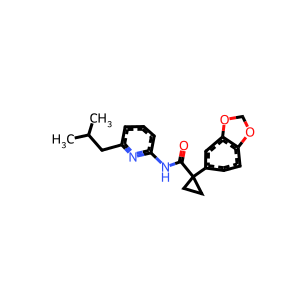 CC(C)Cc1cccc(NC(=O)C2(c3ccc4c(c3)OCO4)CC2)n1